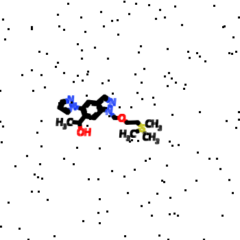 CC(O)c1cc2c(cnn2COCCS(C)(C)C)cc1-n1cccn1